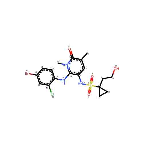 Cc1cc(NS(=O)(=O)C2(CCO)CC2)c(Nc2ccc(Br)cc2Cl)n(C)c1=O